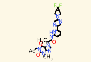 CC(=O)Cn1c(=O)c2c(ncn2[C@@H](C)C(=O)Nc2cccc(-c3cnc(N4CC5C(C4)C5(F)F)cn3)n2)n(C)c1=O